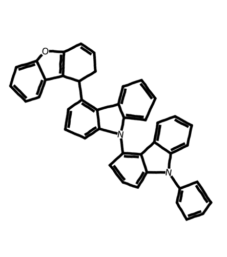 C1=Cc2oc3ccccc3c2C(c2cccc3c2c2ccccc2n3-c2cccc3c2c2ccccc2n3-c2ccccc2)C1